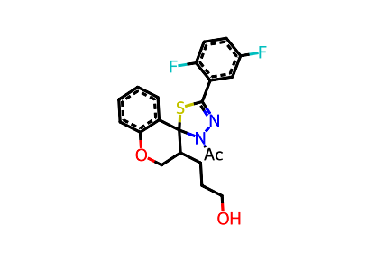 CC(=O)N1N=C(c2cc(F)ccc2F)SC12c1ccccc1OCC2CCCO